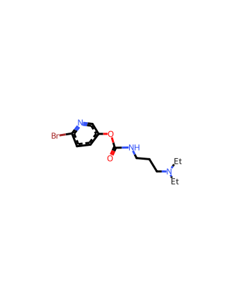 CCN(CC)CCCNC(=O)Oc1ccc(Br)nc1